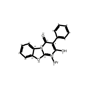 CCC[n+]1c(O)c(-c2ccccc2)c(=O)n2c3ccccc3oc21